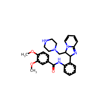 COc1ccc(C(=O)Nc2ccccc2C2N=C3C=CC=CN3C2CN2CCNCC2)cc1OC